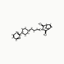 O=C1C2C=CC(C2)C(=O)N1CCCCN1CCN(c2ncccn2)CC1